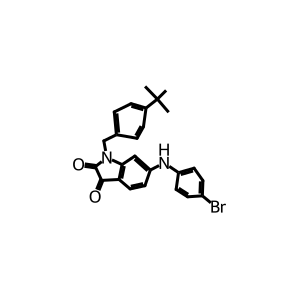 CC(C)(C)c1ccc(CN2C(=O)C(=O)c3ccc(Nc4ccc(Br)cc4)cc32)cc1